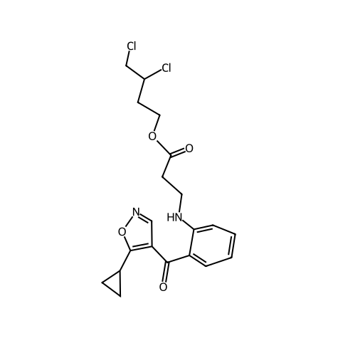 O=C(CCNc1ccccc1C(=O)c1cnoc1C1CC1)OCCC(Cl)CCl